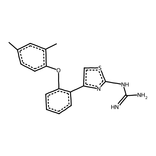 Cc1ccc(Oc2ccccc2-c2csc(NC(=N)N)n2)c(C)c1